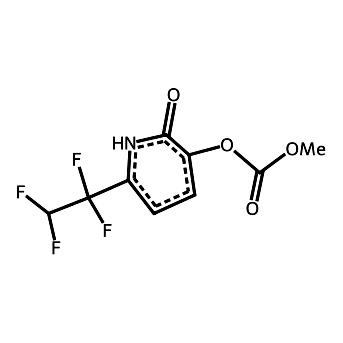 COC(=O)Oc1ccc(C(F)(F)C(F)F)[nH]c1=O